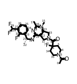 CC(=O)N1CCC(F)(C(=O)N2Cc3c(n(C)c(C)n/c3=N\[C@H](C)c3cccc(C(F)F)c3F)C2)CC1